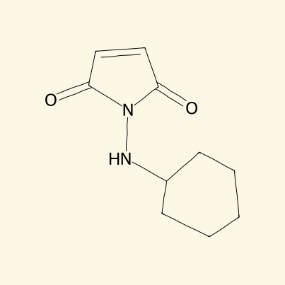 O=C1C=CC(=O)N1NC1CCCCC1